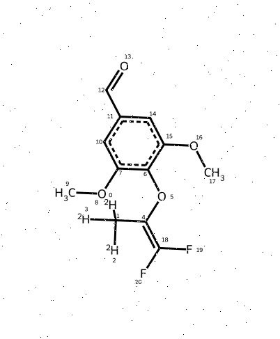 [2H]C([2H])([2H])C(Oc1c(OC)cc(C=O)cc1OC)=C(F)F